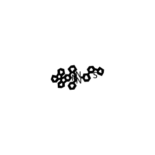 c1ccc(-c2nc(-c3cccc(-c4cccc5c4sc4ccccc45)c3)nc(-c3ccccc3-c3ccc4c(c3)C3(c5ccccc5-c5ccccc53)c3ccccc3-4)n2)cc1